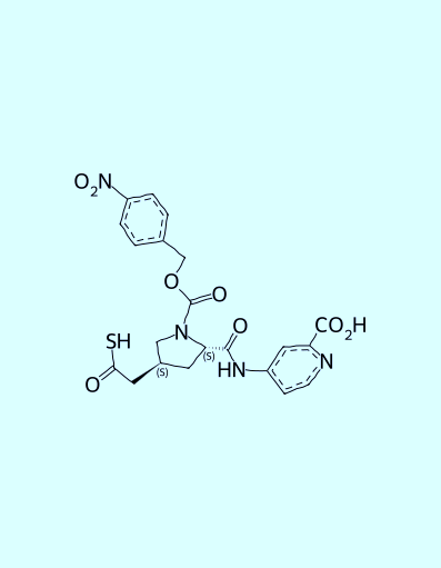 O=C(S)C[C@@H]1C[C@@H](C(=O)Nc2ccnc(C(=O)O)c2)N(C(=O)OCc2ccc([N+](=O)[O-])cc2)C1